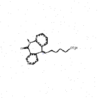 CN1C(=O)c2cnccc2/C(=C/CCCCC(=O)O)c2ccccc21